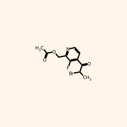 CC(=O)OCc1nccc(C(=O)C(C)Br)c1F